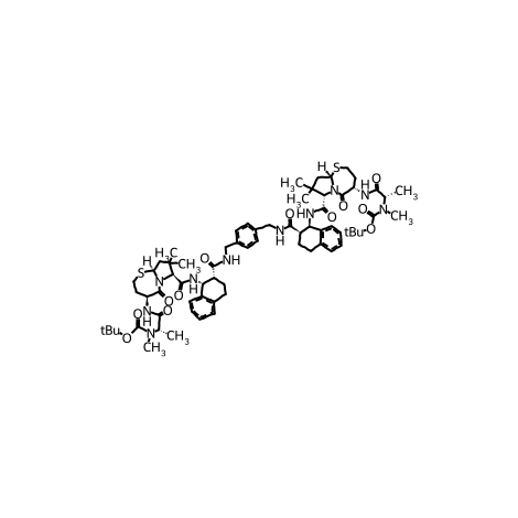 C[C@@H](C(=O)N[C@H]1CCS[C@H]2CC(C)(C)[C@@H](C(=O)N[C@H]3c4ccccc4CC[C@H]3C(=O)NCc3ccc(CNC(=O)[C@@H]4CCc5ccccc5[C@@H]4NC(=O)[C@H]4N5C(=O)[C@@H](NC(=O)[C@H](C)N(C)C(=O)OC(C)(C)C)CCS[C@H]5CC4(C)C)cc3)N2C1=O)N(C)C(=O)OC(C)(C)C